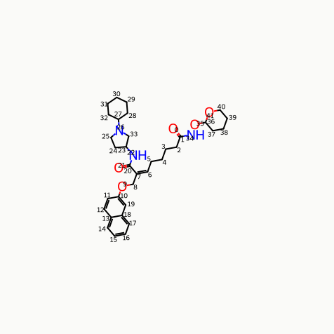 O=C(CCCCC=C(COc1ccc2ccccc2c1)C(=O)NC1CCN(C2CCCCC2)C1)NOC1CCCCO1